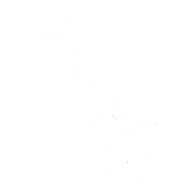 CC(C)SCC1CCN(C(=O)OC(C)(C)C)CC1